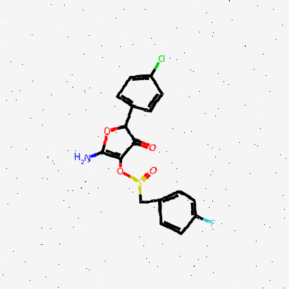 NC1=C(OS(=O)Cc2ccc(F)cc2)C(=O)C(c2ccc(Cl)cc2)O1